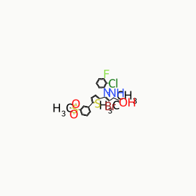 CC(C)(O)C1NN(c2cccc(F)c2Cl)C(c2ccc(-c3cccc(S(C)(=O)=O)c3)s2)=C1Br